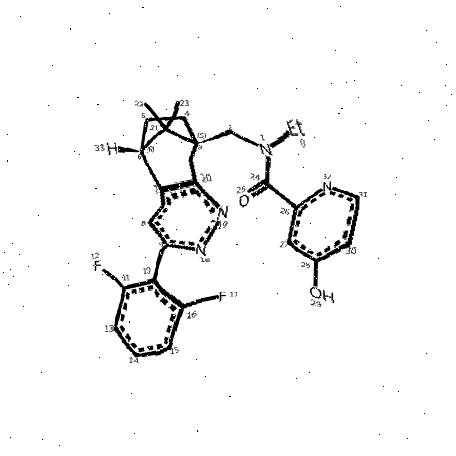 CCN(C[C@@]12CC[C@@H](c3cc(-c4c(F)cccc4F)nnc31)C2(C)C)C(=O)c1cc(O)ccn1